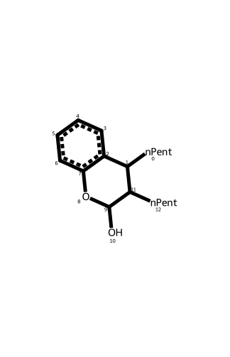 CCCCCC1c2ccccc2OC(O)C1CCCCC